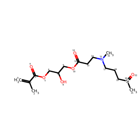 C=C(C)C(=O)OCC(O)COC(=O)CCN(C)CCC[Si](C)=O